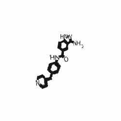 Nc1n[nH]c2ccc(C(=O)Nc3ccc(Cc4ccncc4)cc3)cc12